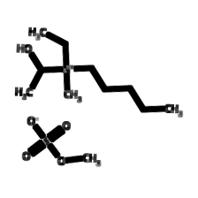 CCCCC[N+](C)(CC)C(C)O.COS(=O)(=O)[O-]